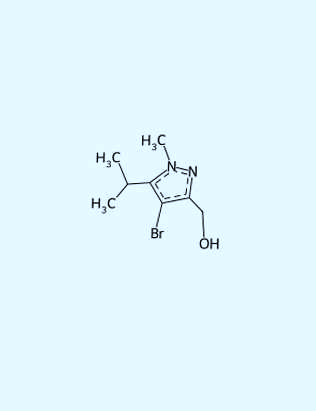 CC(C)c1c(Br)c(CO)nn1C